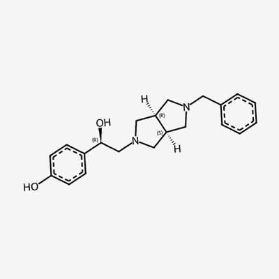 Oc1ccc([C@@H](O)CN2C[C@H]3CN(Cc4ccccc4)C[C@H]3C2)cc1